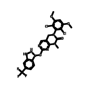 COc1cc(OC)c(Cl)c(N2Cc3cnc(ON4NNc5cc(C(F)(F)F)ccc54)nc3N(C)C2=O)c1Cl